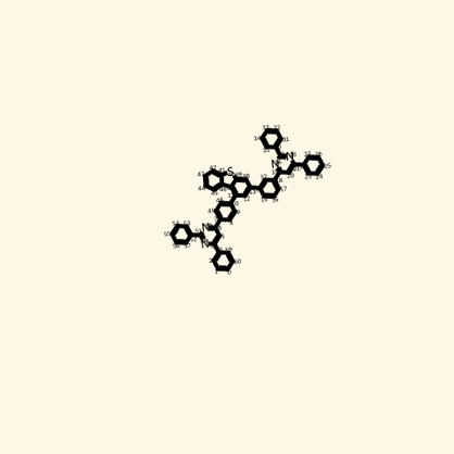 c1ccc(-c2cc(-c3ccc(-c4cc(-c5cccc(-c6cc(-c7ccccc7)nc(-c7ccccc7)n6)c5)cc5sc6ccccc6c45)cc3)nc(-c3ccccc3)n2)cc1